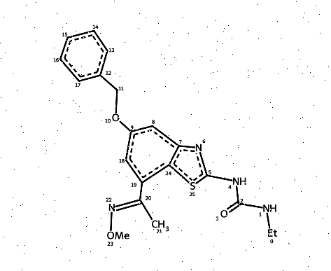 CCNC(=O)Nc1nc2cc(OCc3ccccc3)cc(/C(C)=N/OC)c2s1